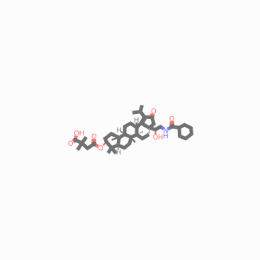 CC(C)C1=C2[C@H]3CC[C@@H]4[C@@]5(C)CC[C@H](OC(=O)CC(C)(C)C(=O)O)C(C)(C)[C@@H]5CC[C@@]4(C)[C@]3(C)CC[C@@]2([C@H](O)CNC(=O)C2CCCCC2)CC1=O